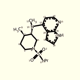 CCCS(=O)(=O)N1CC[C@@H](C)[C@@H](N(C)c2ccnc3[nH]ccc23)C1